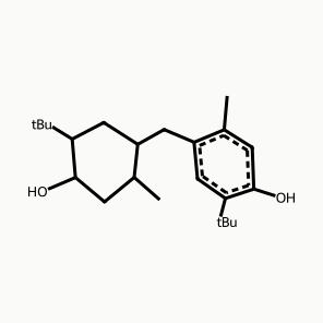 Cc1cc(O)c(C(C)(C)C)cc1CC1CC(C(C)(C)C)C(O)CC1C